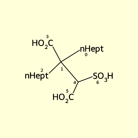 CCCCCCCC(CCCCCCC)(C(=O)O)C(C(=O)O)S(=O)(=O)O